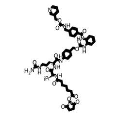 CC(C)[C@H](NC(=O)CCCCCC(=O)ON1C(=O)CCC1=O)C(=O)N[C@@H](CCCNC(N)=O)C(=O)Nc1ccc(COC(=O)Nc2ccccc2NC(=O)c2ccc(CNC(=O)OCc3cccnc3)cc2)cc1